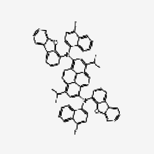 CC(C)c1cc(N(c2ccc(F)c3ccccc23)c2cccc3c2oc2ccccc23)c2ccc3c(C(C)C)cc(N(c4ccc(F)c5ccccc45)c4cccc5c4oc4ccccc45)c4ccc1c2c34